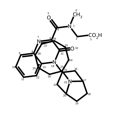 CN(CC(=O)O)C(=O)c1nc2ccccc2n(C2CC3CCC(C2)N3C2CCCCCCC2)c1=O